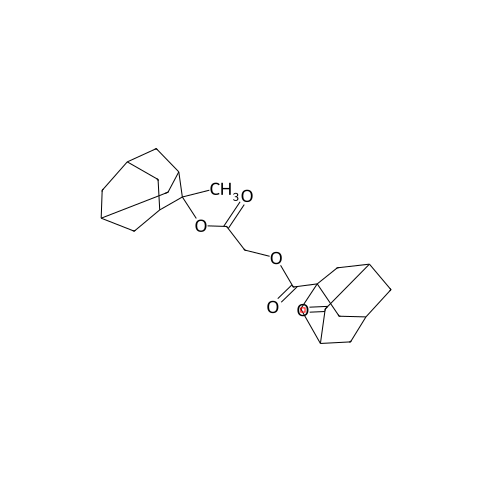 CC1(OC(=O)COC(=O)C23CC4CC(C2)C(=O)C(C4)C3)C2CC3CC(C2)CC1C3